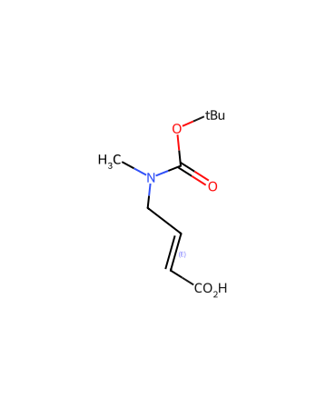 CN(C/C=C/C(=O)O)C(=O)OC(C)(C)C